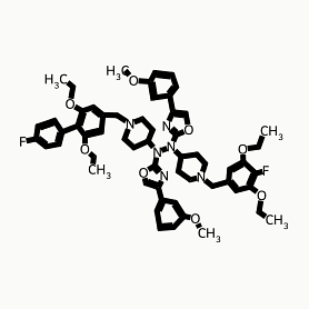 CCOc1cc(CN2CCC(N(c3nc(-c4cccc(OC)c4)co3)N(c3nc(-c4cccc(OC)c4)co3)C3CCN(Cc4cc(OCC)c(-c5ccc(F)cc5)c(OCC)c4)CC3)CC2)cc(OCC)c1F